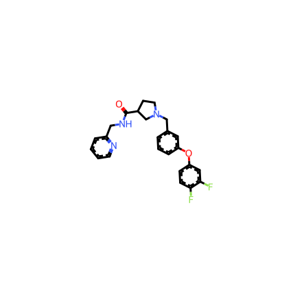 O=C(NCc1ccccn1)C1CCN(Cc2cccc(Oc3ccc(F)c(F)c3)c2)C1